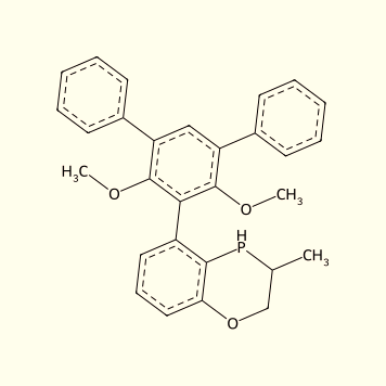 COc1c(-c2ccccc2)cc(-c2ccccc2)c(OC)c1-c1cccc2c1PC(C)CO2